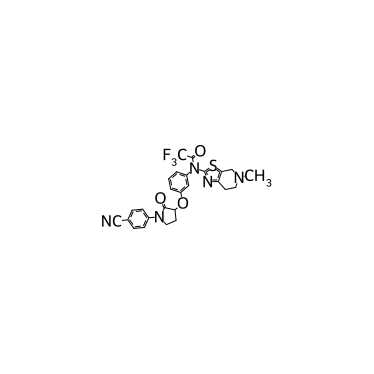 CN1CCc2nc(N(C(=O)C(F)(F)F)c3cccc(OC4CCN(c5ccc(C#N)cc5)C4=O)c3)sc2C1